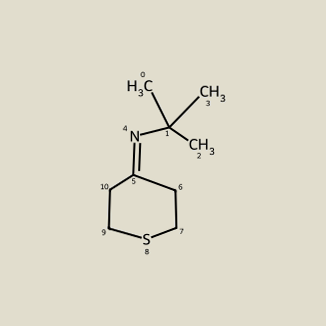 CC(C)(C)N=C1CCSCC1